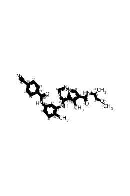 COC[C@H](C)NC(=O)c1cn2ncnc(Nc3cc(NC(=O)c4ccc(C#N)cc4)ccc3C)c2c1C